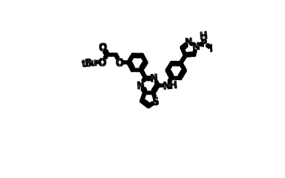 CC(C)(C)OC(=O)COc1cccc(-c2nc(Nc3ccc(-c4cnn(PI)c4)cc3)c3sccc3n2)c1